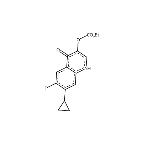 CCOC(=O)Oc1c[nH]c2cc(C3CC3)c(F)cc2c1=O